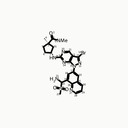 CNC(=O)[C@]1(C)CC[C@@H](Nc2ncc3c(Br)nn(-c4cc(C(N)S(C)(=O)=O)c5ncccc5c4)c3n2)C1